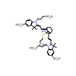 CN1CC2CCC1/C(=C\C=C1\N(CCCS(=O)(=O)O)c3ccc(S(=O)(=O)O)cc3C1(C)C)C(SCCC(=O)O)=C2/C=C/C1=[N+](CCCS(=O)(=O)O)c2ccc(S(=O)(=O)O)cc2C1(C)C